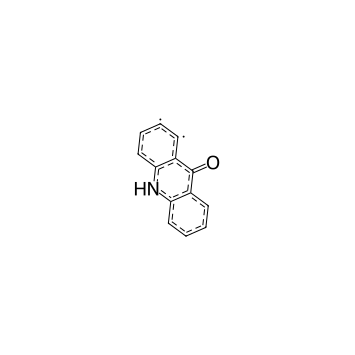 O=c1c2[c][c]ccc2[nH]c2ccccc12